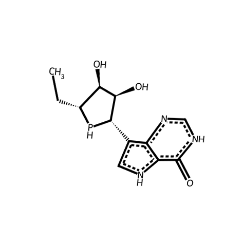 CC[C@H]1P[C@@H](c2c[nH]c3c(=O)[nH]cnc23)[C@H](O)[C@@H]1O